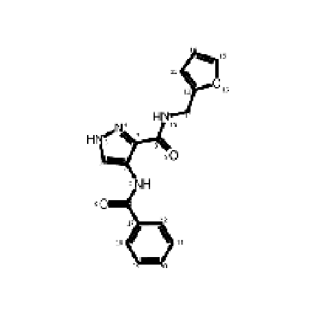 O=C(Nc1c[nH]nc1C(=O)NCc1ccco1)c1ccccc1